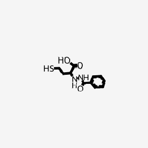 O=C(NNC(CCS)C(=O)O)c1ccccc1